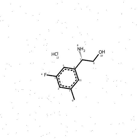 Cc1cc(F)cc([C@H](N)CO)c1.Cl